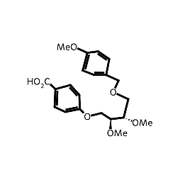 COc1ccc(COC[C@H](OC)[C@H](COc2ccc(C(=O)O)cc2)OC)cc1